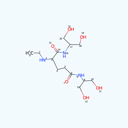 CCNC(CCC(=O)NC(CO)CO)C(=O)NC(CO)CO